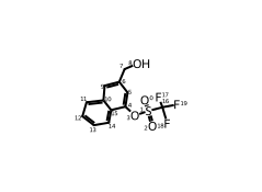 O=S(=O)(Oc1cc(CO)cc2ccccc12)C(F)(F)F